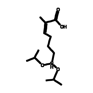 CC(=CCCC[SiH](OC(C)C)OC(C)C)C(=O)O